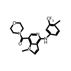 Cc1ccc(Nc2ncc(C(=O)N3CCOCC3)c3c2ccn3C)cc1C(F)(F)F